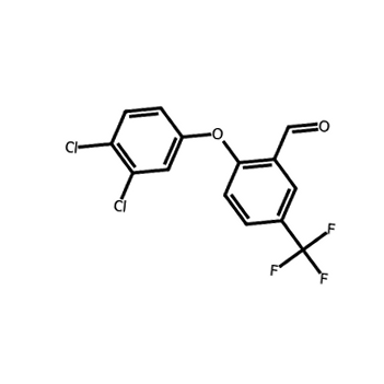 O=Cc1cc(C(F)(F)F)ccc1Oc1ccc(Cl)c(Cl)c1